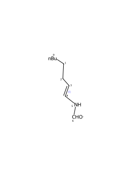 CCCCCC/C=C/N[C]=O